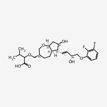 CC(C)C(OC[C@@H]1CC[C@@H]2[C@@H](/C=C/[C@@H](O)COc3cccc(F)c3F)[C@H](O)C[C@@H]2OC1)C(=O)O